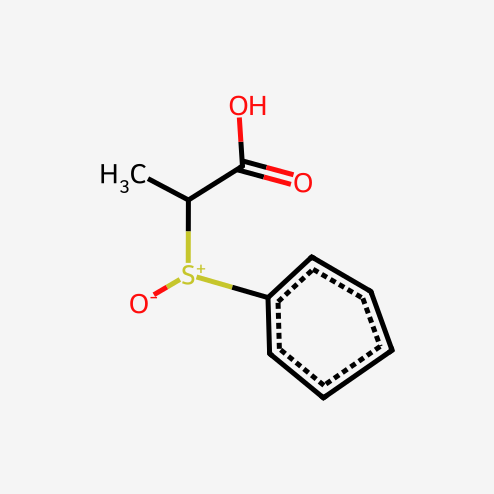 CC(C(=O)O)[S+]([O-])c1ccccc1